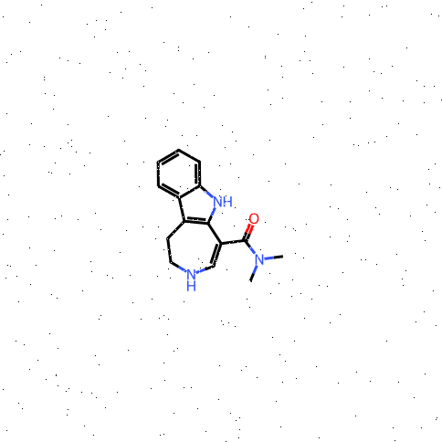 CN(C)C(=O)C1=CNCCc2c1[nH]c1ccccc21